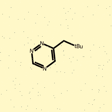 CC(C)(C)Cc1cncnn1